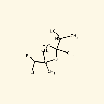 CCC(CC)[Si](C)(C)OC(C)(C)[SiH](C)C